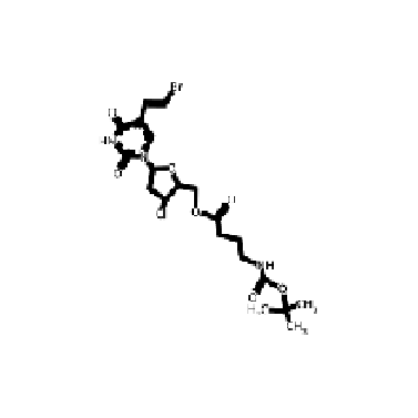 CC(C)(C)OC(=O)NCCCC(=O)OCC1OC(n2cc(/C=C/Br)c(=O)[nH]c2=O)CC1Cl